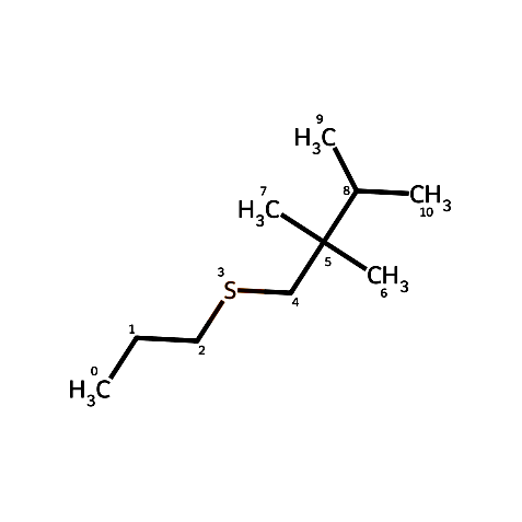 CCCSCC(C)(C)C(C)C